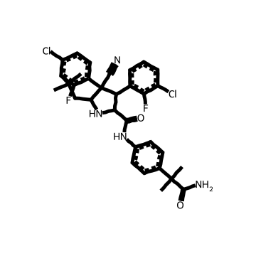 CC(C)(C)CC1NC(C(=O)Nc2ccc(C(C)(C)C(N)=O)cc2)C(c2cccc(Cl)c2F)C1(C#N)c1ccc(Cl)cc1F